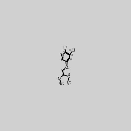 CCOC(COc1cnc(F)c(Cl)c1)OCC